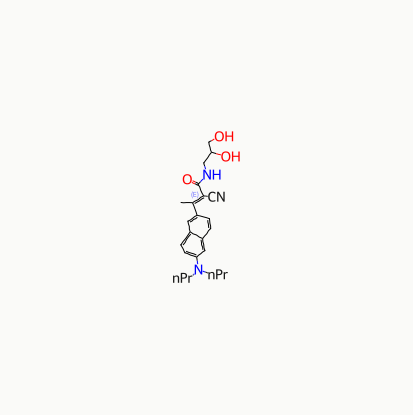 CCCN(CCC)c1ccc2cc(/C(C)=C(\C#N)C(=O)NCC(O)CO)ccc2c1